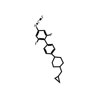 Fc1cc(N=C=S)cc(F)c1-c1ccc(C2CCC(CC3CC3)CC2)cc1